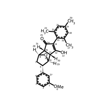 COc1cccc([C@@H]2C[C@@H]3O[C@H]2[C@H]2C(O)=C(c4c(C)cc(C)cc4C)C(=O)[C@H]23)c1